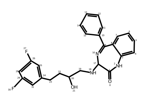 O=C1Nc2ccccc2C(c2ccccc2)=NC1NCC(O)CCc1cc(F)cc(F)c1